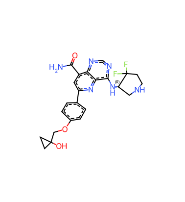 NC(=O)c1cc(-c2ccc(OCC3(O)CC3)cc2)nc2c(N[C@@H]3CNCCC3(F)F)ncnc12